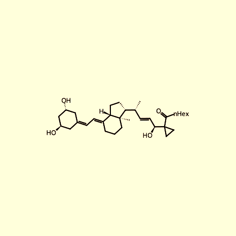 CCCCCCC(=O)C1([C@@H](O)/C=C/[C@@H](C)[C@H]2CC[C@H]3/C(=C/C=C4C[C@@H](O)C[C@H](O)C4)CCC[C@]23C)CC1